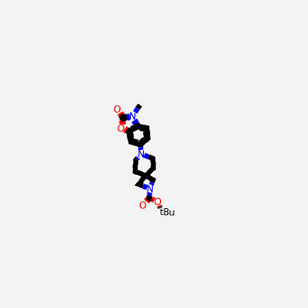 Cn1c(=O)oc2cc(N3CCC4(CC3)CN(C(=O)OC(C)(C)C)C4)ccc21